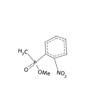 COP(C)(=O)c1ccccc1[N+](=O)[O-]